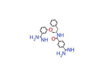 N=C(N)c1ccc(C(=O)N[C@@H](COc2cccc(C(=N)N)c2)Cc2ccccc2)cc1